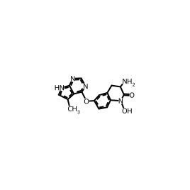 Cc1c[nH]c2ncnc(Oc3ccc4c(c3)CC(N)C(=O)N4O)c12